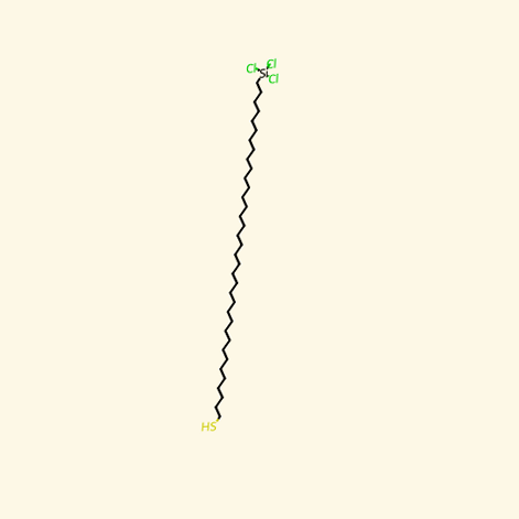 SCCCCCCCCCCCCCCCCCCCCCCCCCCCCCCCCCCCC[Si](Cl)(Cl)Cl